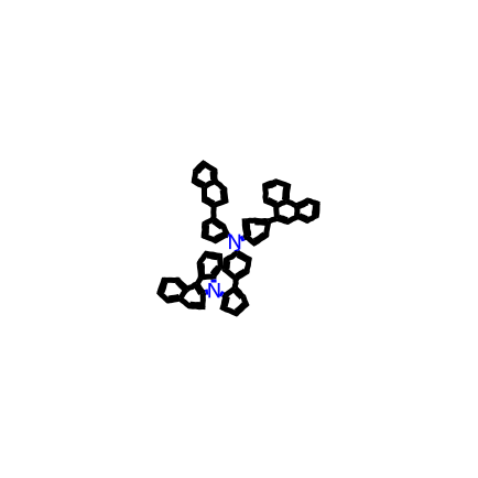 c1cc(-c2ccc3ccccc3c2)cc(N(c2ccc(-c3ccccc3-n3c4ccccc4c4c5ccccc5ccc43)cc2)c2ccc(-c3cc4ccccc4c4ccccc34)cc2)c1